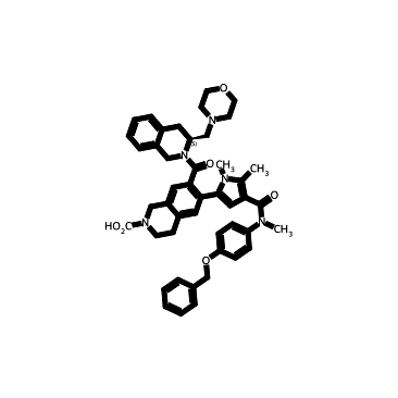 Cc1c(C(=O)N(C)c2ccc(OCc3ccccc3)cc2)cc(-c2cc3c(cc2C(=O)N2Cc4ccccc4C[C@H]2CN2CCOCC2)CN(C(=O)O)CC3)n1C